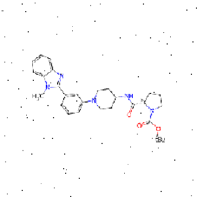 Cn1c(-c2cccc(N3CCC(NC(=O)[C@@H]4CCCN4C(=O)OC(C)(C)C)CC3)c2)nc2ccccc21